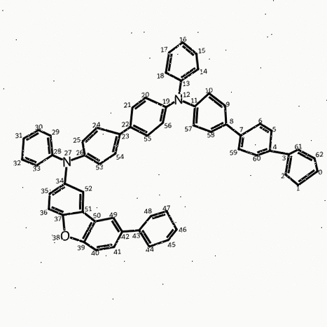 c1ccc(-c2ccc(-c3ccc(N(c4ccccc4)c4ccc(-c5ccc(N(c6ccccc6)c6ccc7oc8ccc(-c9ccccc9)cc8c7c6)cc5)cc4)cc3)cc2)cc1